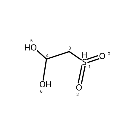 O=[SH](=O)CC(O)O